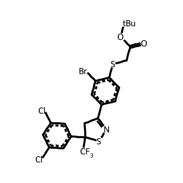 CC(C)(C)OC(=O)CSc1ccc(C2=NSC(c3cc(Cl)cc(Cl)c3)(C(F)(F)F)C2)cc1Br